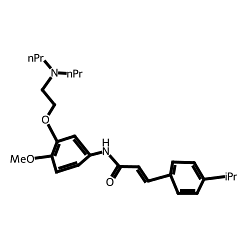 CCCN(CCC)CCOc1cc(NC(=O)C=Cc2ccc(C(C)C)cc2)ccc1OC